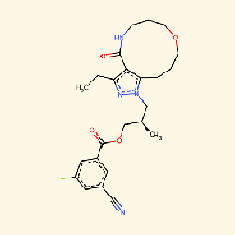 CCc1nn(C[C@@H](C)COC(=O)c2cc(F)cc(C#N)c2)c2c1C(=O)NCCCOCCC2